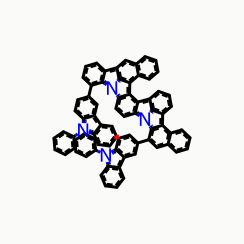 c1ccc(-n2c3ccccc3c3cc(-c4cc5ccccc5c5c6cccc7c8c9c%10c%11ccccc%11cc%11c%12cccc(-c%13ccc%14c(c%13)c%13ccccc%13n%14-c%13ccccc%13)c%12n(c9ccc8n(c45)c76)c%11%10)ccc32)cc1